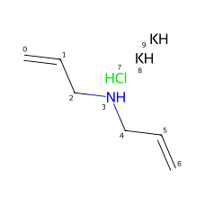 C=CCNCC=C.Cl.[KH].[KH]